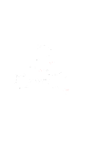 O=C(Oc1ccccc1CCc1ccccc1C(=O)O)c1ccc(O)cc1